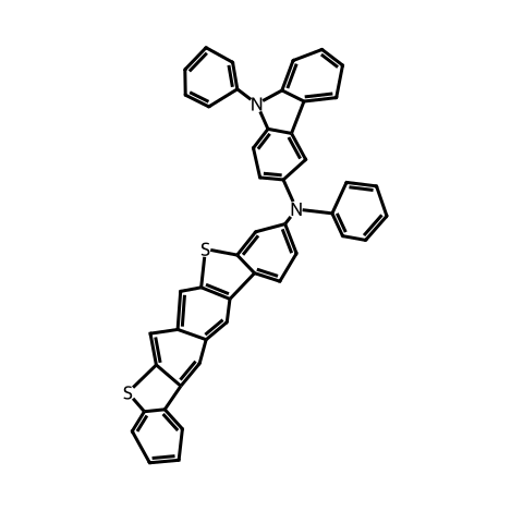 c1ccc(N(c2ccc3c(c2)sc2cc4cc5sc6ccccc6c5cc4cc23)c2ccc3c(c2)c2ccccc2n3-c2ccccc2)cc1